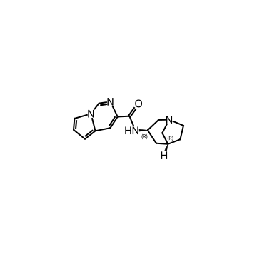 O=C(N[C@@H]1C[C@H]2CCN(C2)C1)c1cc2cccn2cn1